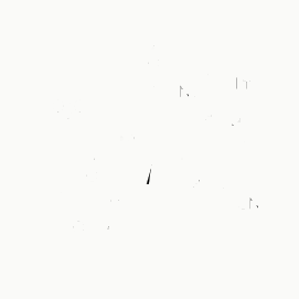 CC(C)CN1C(=O)[C@@H](CC(=O)O)S[C@H](c2cccc3c2OCO3)c2cc(C#N)ccc21